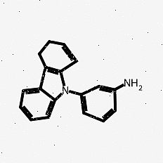 Nc1cccc(-n2c3c(c4ccccc42)CCC=C3)c1